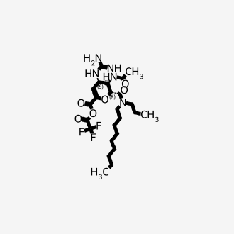 CCCCCCCCCN(CCC)C(=O)[C@@H]1OC(C(=O)OC(=O)C(F)(F)F)=C[C@H](NC(=N)N)[C@H]1NC(C)=O